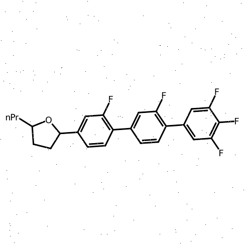 CCCC1CCC(c2ccc(-c3ccc(-c4cc(F)c(F)c(F)c4)c(F)c3)c(F)c2)O1